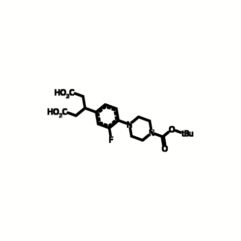 CC(C)(C)OC(=O)N1CCN(c2ccc(C(CC(=O)O)CC(=O)O)cc2F)CC1